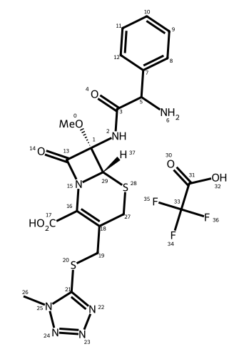 CO[C@@]1(NC(=O)C(N)c2ccccc2)C(=O)N2C(C(=O)O)=C(CSc3nnnn3C)CS[C@H]21.O=C(O)C(F)(F)F